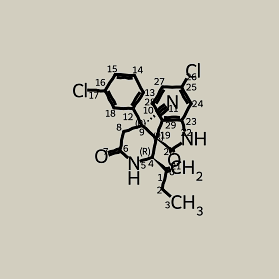 C=C(CC)[C@H]1NC(=O)C[C@@](C#N)(c2cccc(Cl)c2)[C@@]12C(=O)Nc1cc(Cl)ccc12